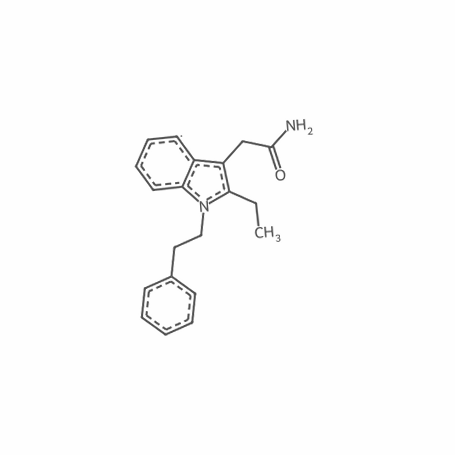 CCc1c(CC(N)=O)c2[c]cccc2n1CCc1ccccc1